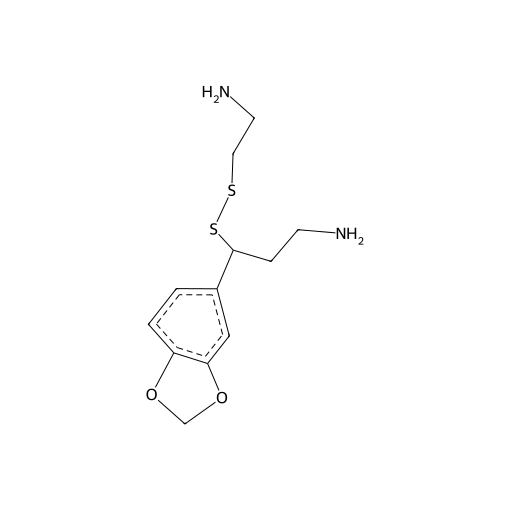 NCCSSC(CCN)c1ccc2c(c1)OCO2